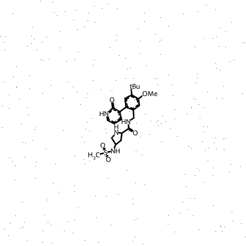 COc1cc(CNC(=O)C2CC(NS(C)(=O)=O)CN2)c(-c2ccc[nH]c2=O)cc1C(C)(C)C